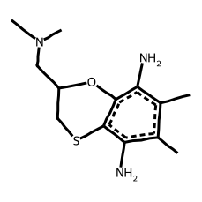 Cc1c(C)c(N)c2c(c1N)OC(CN(C)C)CS2